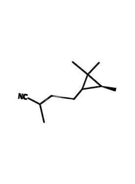 CC(C#N)CCC1[C@H](C)C1(C)C